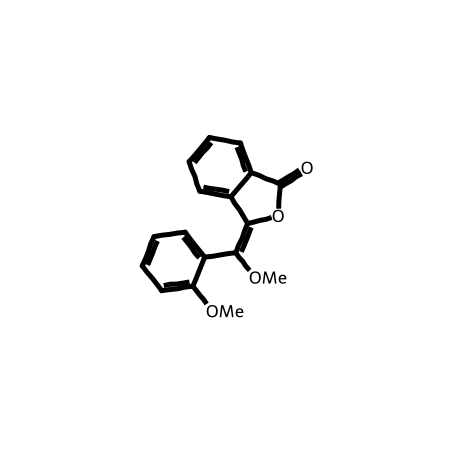 COC(=C1OC(=O)c2ccccc21)c1ccccc1OC